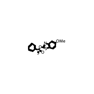 COc1ccc2sc(OS(=O)(=S)c3ccccc3)nc2c1